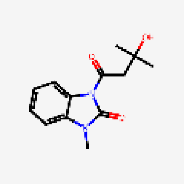 Cn1c(=O)n(C(=O)CC(C)(C)O)c2ccccc21